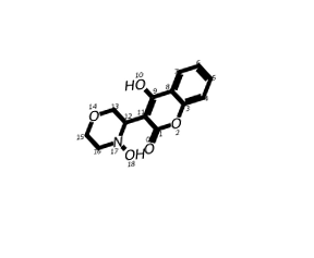 O=c1oc2ccccc2c(O)c1C1COCCN1O